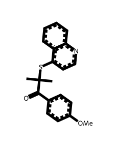 COc1ccc(C(=O)C(C)(C)Sc2ccnc3ccccc23)cc1